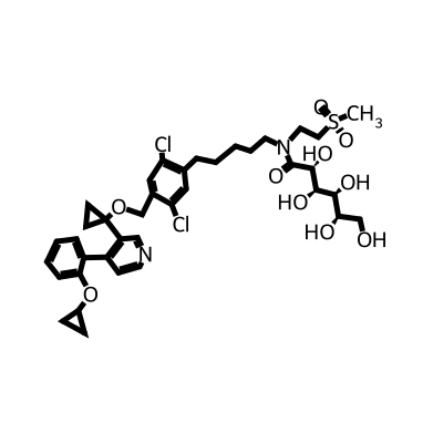 CS(=O)(=O)CCN(CCCCCc1cc(Cl)c(COC2(c3cnccc3-c3ccccc3OC3CC3)CC2)cc1Cl)C(=O)[C@H](O)[C@H](O)[C@@H](O)[C@H](O)CO